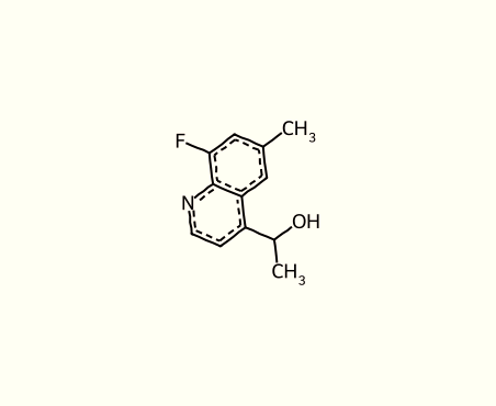 Cc1cc(F)c2nccc(C(C)O)c2c1